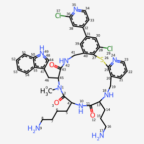 CN1C(=O)C(CCCCN)NC(=O)C(CCCN)NCc2cccnc2Sc2c(Cl)cc(-c3ccnc(Cl)c3)cc2CNC(=O)C1Cc1c[nH]c2ccccc12